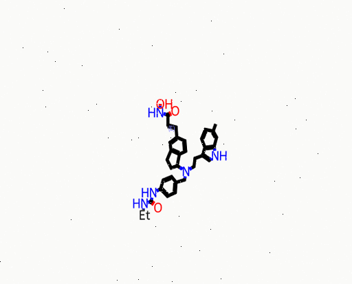 CCNC(=O)Nc1ccc(CN(CCc2c[nH]c3cc(C)ccc23)C2CCc3cc(/C=C/C(=O)NO)ccc32)cc1